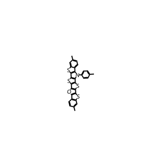 Cc1ccc(-n2c3c4ccc(C)cc4sc3c3sc4c5oc6c7ccc(C)cc7sc6c5sc4c32)cc1